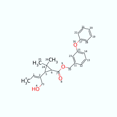 CC=C(CO)C1C(C(=O)OCc2cccc(Oc3ccccc3)c2)C1(C)C